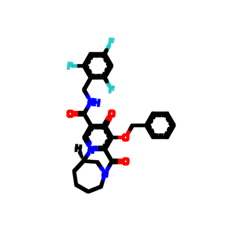 O=C(NCc1c(F)cc(F)cc1F)c1cn2c(c(OCc3ccccc3)c1=O)C(=O)N1CCCC[C@@H]2C1